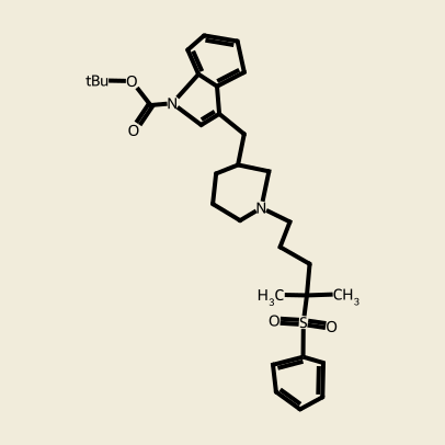 CC(C)(C)OC(=O)n1cc(CC2CCCN(CCCC(C)(C)S(=O)(=O)c3ccccc3)C2)c2ccccc21